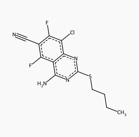 CCCCSc1nc(N)c2c(F)c(C#N)c(F)c(Cl)c2n1